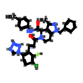 Cc1nn(Cc2ccccc2)c2c1C(C(=O)Nc1ccc(C(=O)O)cc1)N(C(=O)/C=C/c1c(-n3cnnn3)ccc(Cl)c1F)CC2